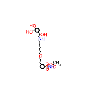 CC(=O)ONS(=O)(=O)c1cccc(CCCOCCCCCCCNC[C@@H](O)c2ccc(O)c(CO)c2)c1